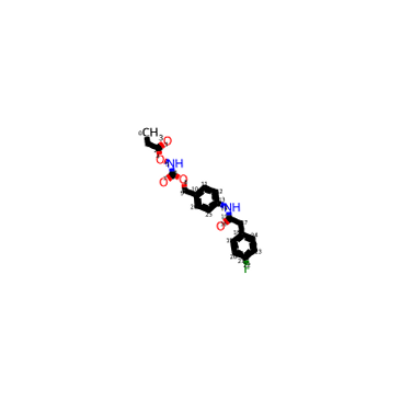 CCC(=O)ONC(=O)OCc1ccc(NC(=O)Cc2ccc(F)cc2)cc1